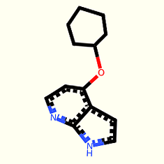 c1cc(OC2CCCCC2)c2cc[nH]c2n1